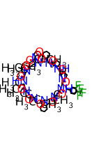 CC[C@H](C)[C@@H]1NC(=O)[C@H](CC(C)C)N(C)C(=O)C[C@@H](C(=O)N2CCOCC2)N(C)C(=O)[C@H](C2CCCCC2)N(C)C(=O)C2(CCCC2)NC(=O)[C@@H]2CCCN2C(=O)[C@H](CCc2ccc(C(F)(F)F)c(F)c2)NC(=O)CN(C)C(=O)[C@H](CC2CCCCC2)N(C)C(=O)CN(C)C(=O)CN(C)C1=O